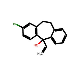 C=CC1(O)c2ccccc2CCc2cc(Br)ccc21